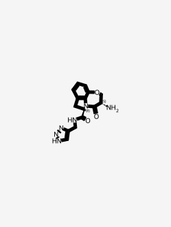 N[C@H]1COc2cccc3c2N(C1=O)[C@@H](C(=O)NCc1c[nH]nn1)C3